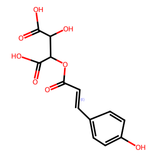 O=C(/C=C/c1ccc(O)cc1)OC(C(=O)O)C(O)C(=O)O